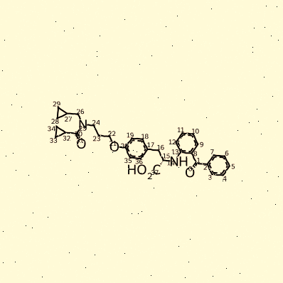 O=C(c1ccccc1)c1ccccc1N[C@@H](Cc1ccc(OCCCN(CC2CC2)C(=O)C2CC2)cc1)C(=O)O